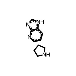 C1CCNC1.c1cnc2nc[nH]c2c1